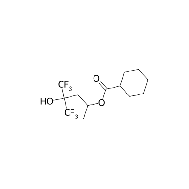 CC(CC(O)(C(F)(F)F)C(F)(F)F)OC(=O)C1CCCCC1